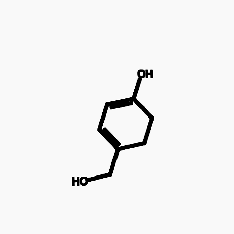 OCC1=CC=C(O)CC1